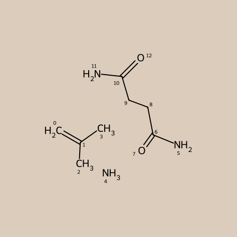 C=C(C)C.N.NC(=O)CCC(N)=O